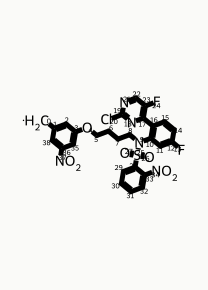 [CH2]c1cc(OCCCCN(c2cc(F)ccc2-c2nc(Cl)ncc2F)S(=O)(=O)c2ccccc2[N+](=O)[O-])cc([N+](=O)[O-])c1